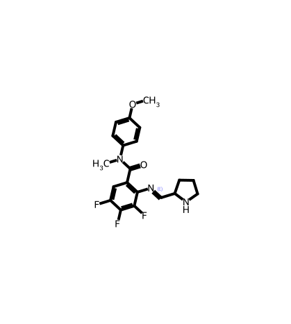 COc1ccc(N(C)C(=O)c2cc(F)c(F)c(F)c2/N=C/C2CCCN2)cc1